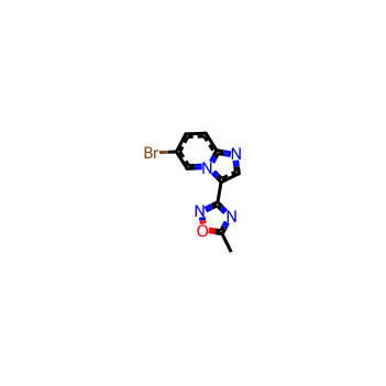 Cc1nc(-c2cnc3ccc(Br)cn23)no1